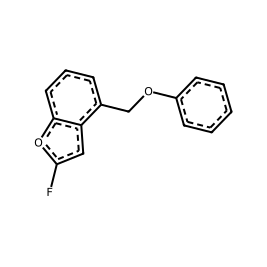 Fc1cc2c(COc3ccccc3)cccc2o1